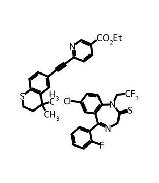 CCOC(=O)c1ccc(C#Cc2ccc3c(c2)C(C)(C)CCS3)nc1.Fc1ccccc1C1=NCC(=S)N(CC(F)(F)F)c2ccc(Cl)cc21